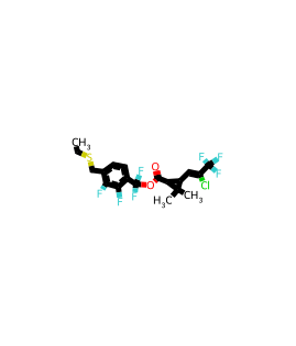 CCSCc1ccc(C(F)(F)OC(=O)C2C(C=C(Cl)C(F)(F)F)C2(C)C)c(F)c1F